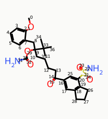 COc1ccccc1CC(CCCCC(=O)c1cc2c(c(S(N)(=O)=O)c1)CCC2)(OC(N)=O)C(C)(C)C